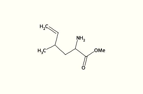 C=CC(C)CC(N)C(=O)OC